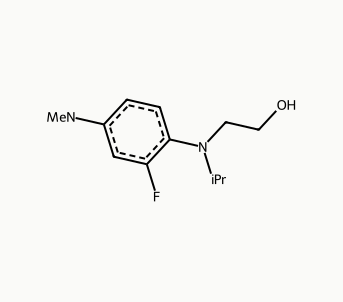 CNc1ccc(N(CCO)C(C)C)c(F)c1